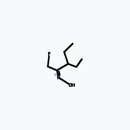 CCC(CC)/C(CF)=N\O